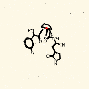 N#CC(CC1CCNC1=O)NC(=O)C1C2CCC(CC2(F)F)N1C(=O)C(O)c1cccc(Cl)c1